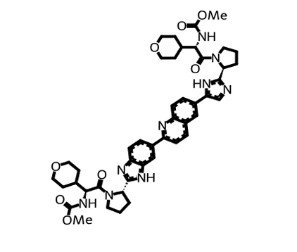 COC(=O)N[C@H](C(=O)N1CCC[C@H]1c1ncc(-c2ccc3nc(-c4ccc5nc([C@@H]6CCCN6C(=O)[C@@H](NC(=O)OC)C6CCOCC6)[nH]c5c4)ccc3c2)[nH]1)C1CCOCC1